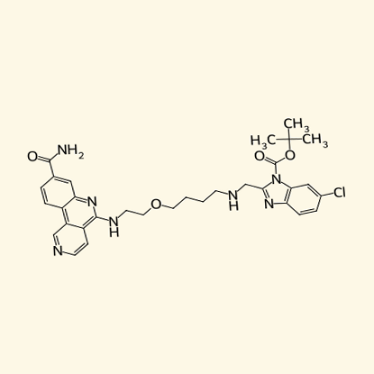 CC(C)(C)OC(=O)n1c(CNCCCCOCCNc2nc3cc(C(N)=O)ccc3c3cnccc23)nc2ccc(Cl)cc21